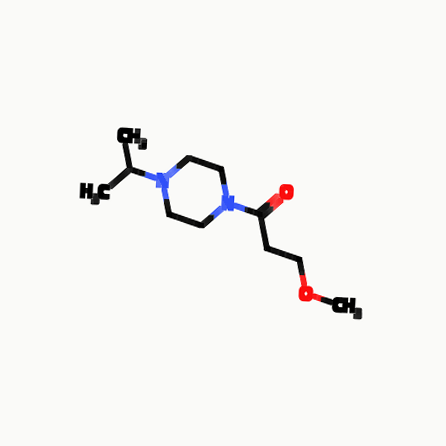 COCCC(=O)N1CCN(C(C)C)CC1